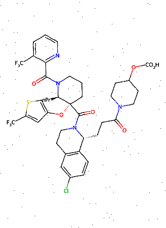 CCC[C@H]1N(C(=O)c2ncccc2C(F)(F)F)CCC[C@@]1(Oc1csc(C(F)(F)F)c1)C(=O)N1CCc2cc(Cl)ccc2[C@H]1CCC(=O)N1CCC(OC(=O)O)CC1